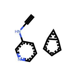 C#CNc1cccnc1.c1cc2cc-2c1